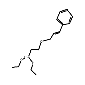 CCO[SiH](CCOC/C=C/c1ccccc1)OCC